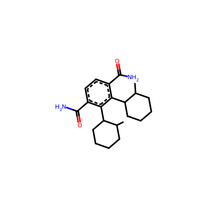 CC1CCCCC1c1c(C(N)=O)ccc(C(N)=O)c1C1CCCCC1C